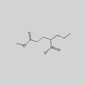 CCCC(CCC(=O)OC)[N+](=O)[O-]